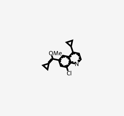 COC(=C1CC1)c1cc(Cl)c2nccc(C3CC3)c2c1